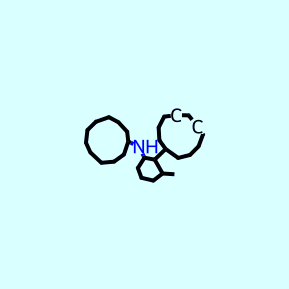 CC1CCCC(NC2CCCCCCCCCC2)C1C1CCCCCCCCCC1